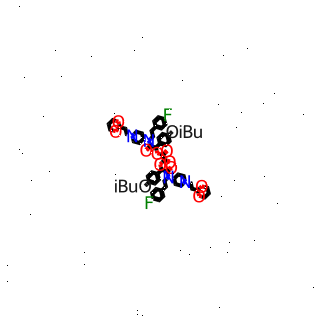 CC(C)COc1ccc(C(OC(=O)C(=O)OC(C(=O)N(CCc2ccc(F)cc2)C2CCN(CCC3OCCCO3)CC2)c2ccc(OCC(C)C)cc2)C(=O)N(CCc2ccc(F)cc2)C2CCN(CCC3OCCCO3)CC2)cc1